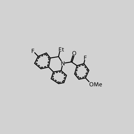 CCC1c2cc(F)ccc2-c2ccccc2N1C(=O)c1ccc(OC)cc1F